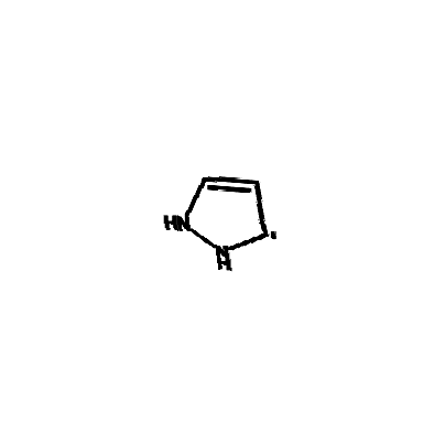 [C]1C=CNN1